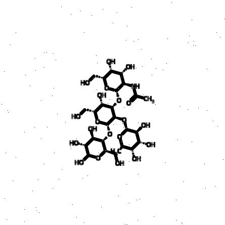 CC(=O)N[C@H]1[C@H](O[C@H]2[C@@H](O)[C@@H](CO)O[C@@H](O[C@H]3[C@H](O)[C@@H](O)C(O)O[C@@H]3CO)[C@@H]2O[C@@H]2O[C@@H](C)[C@@H](O)[C@@H](O)[C@@H]2O)O[C@H](CO)[C@H](O)[C@@H]1O